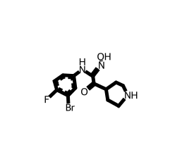 O=C(/C(=N/O)Nc1ccc(F)c(Br)c1)C1CCNCC1